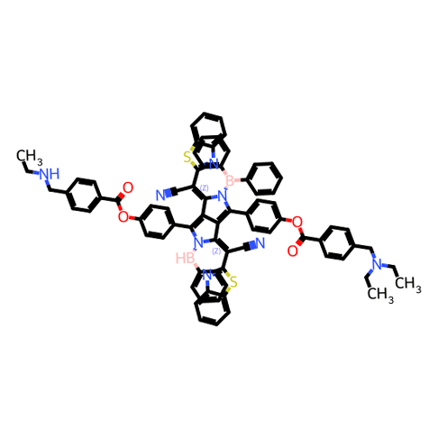 CCNCc1ccc(C(=O)Oc2ccc(-c3c4/c(=C(\C#N)c5nc6ccccc6s5)n(B(c5ccccc5)c5ccccc5)c(-c5ccc(OC(=O)c6ccc(CN(CC)CC)cc6)cc5)c4/c(=C(\C#N)c4nc5ccccc5s4)n3Bc3ccccc3)cc2)cc1